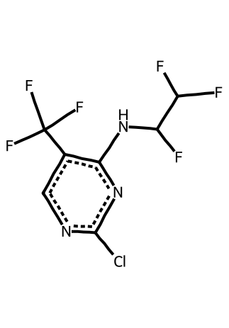 FC(F)C(F)Nc1nc(Cl)ncc1C(F)(F)F